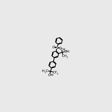 CC(C)(O)c1cc(-c2ccc(C(C)(O)C(F)(F)F)cc2)ccc1S(=O)(=O)c1ccccc1